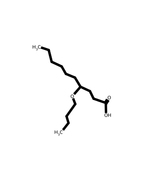 CCCCCCC(CCC(=O)O)OCCCC